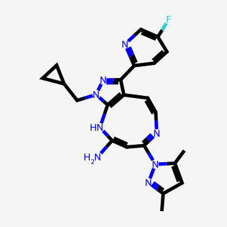 Cc1cc(C)n(-c2cc(N)[nH]c3c(ccn2)c(-c2ccc(F)cn2)nn3CC2CC2)n1